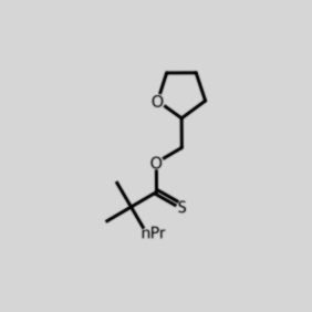 CCCC(C)(C)C(=S)OCC1CCCO1